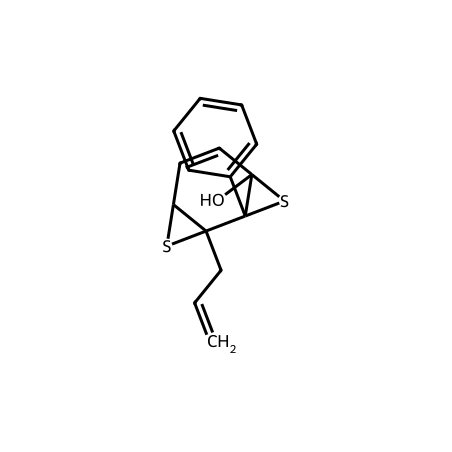 C=CCC12SC1C=CC1(O)SC12c1ccccc1